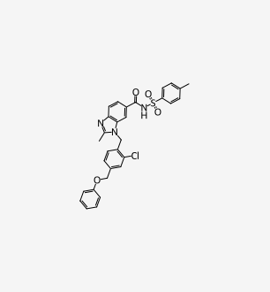 Cc1ccc(S(=O)(=O)NC(=O)c2ccc3nc(C)n(Cc4ccc(COc5ccccc5)cc4Cl)c3c2)cc1